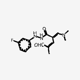 C/C(C=O)=C/C(=C\N(C)C)C(=O)NNc1cccc(F)c1